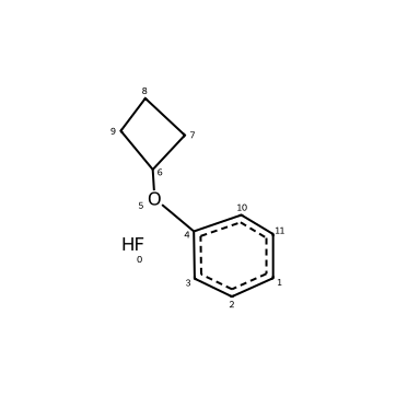 F.c1ccc(OC2CCC2)cc1